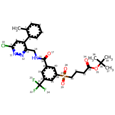 Cc1ccccc1-c1cc(Cl)nnc1CNC(=O)c1cc(C(F)(F)F)cc(S(=O)(=O)CCCC(=O)OC(C)(C)C)c1